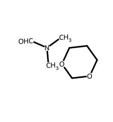 C1COCOC1.CN(C)C=O